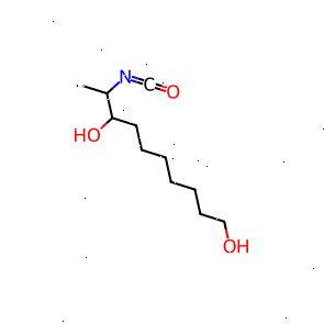 [CH2]C(N=C=O)C(O)CCCCCCCO